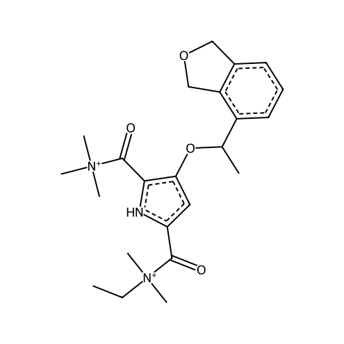 CC[N+](C)(C)C(=O)c1cc(OC(C)c2cccc3c2COC3)c(C(=O)[N+](C)(C)C)[nH]1